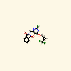 O=C1c2ccccc2C(=O)N1Cc1cc(OCC2CC2C(F)(F)F)nc(Cl)n1